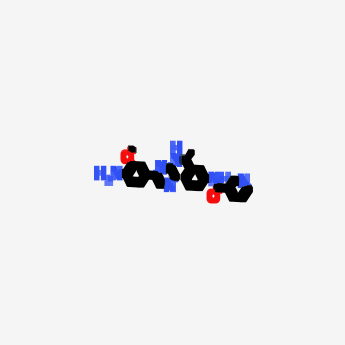 COc1cc(-c2cncc(N[C@@H](C)c3cccc(NC(=O)c4cccnc4)c3)n2)ccc1N